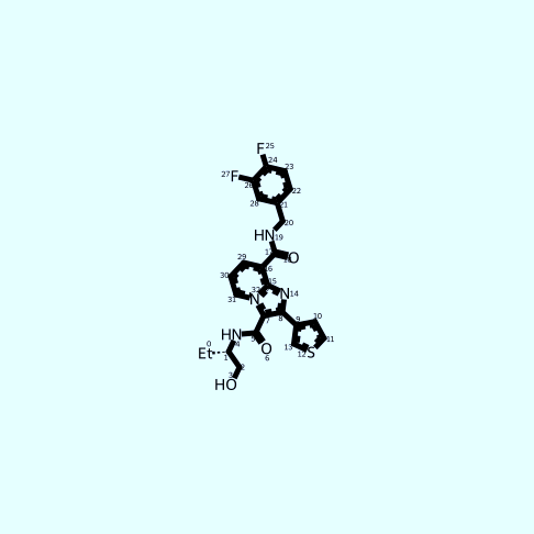 CC[C@@H](CO)NC(=O)c1c(-c2ccsc2)nc2c(C(=O)NCc3ccc(F)c(F)c3)cccn12